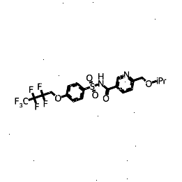 CC(C)OCc1ccc(C(=O)NS(=O)(=O)c2ccc(OCC(F)(F)C(F)(F)C(F)(F)F)cc2)cn1